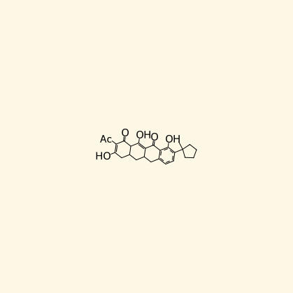 CC(=O)C1=C(O)CC2CC3Cc4ccc(C5(C)CCCC5)c(O)c4C(=O)C3=C(O)C2C1=O